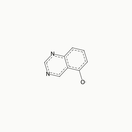 [O]c1cccc2ncncc12